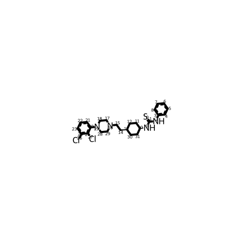 S=C(Nc1ccccc1)N[C@H]1CC[C@H](CCN2CCN(c3cccc(Cl)c3Cl)CC2)CC1